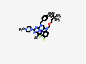 CCc1cnn2c(N(Cc3ccc(OC)cc3)Cc3nc4c(F)c(F)ccc4n3COCC[Si](C)(C)C)nc(N3CCN(C)CC3)nc12